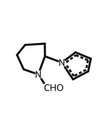 O=CN1CCCCC1n1cccc1